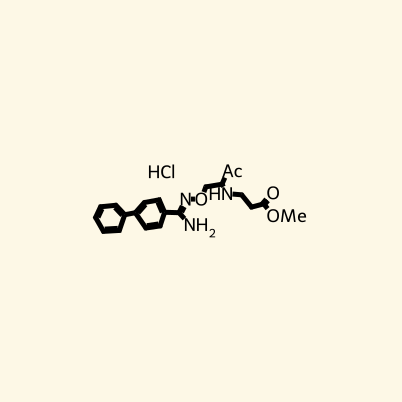 COC(=O)CCNC(CON=C(N)c1ccc(-c2ccccc2)cc1)C(C)=O.Cl